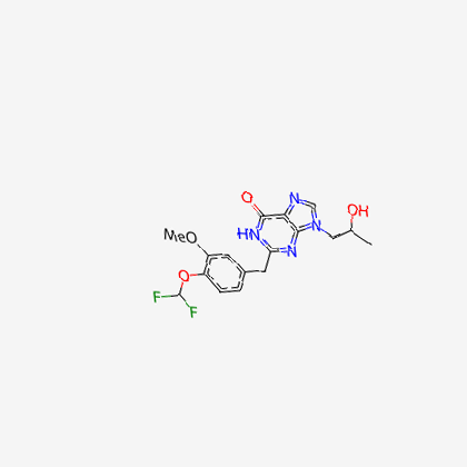 COc1cc(Cc2nc3c(ncn3CC(C)O)c(=O)[nH]2)ccc1OC(F)F